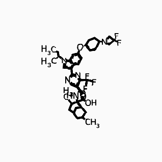 CC[C@@H](C)n1cc(-c2ncc(C(=O)NC3(C(=O)O)C(C)CC4CC(C)CC3C4)c(C(F)(F)F)n2)c2ccc(O[C@H]3CC[C@H](N4CC(F)(F)C4)CC3)cc21